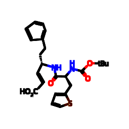 CC(C)(C)OC(=O)N[C@@H](Cc1cccs1)C(=O)N[C@H](C=CC(=O)O)CCc1ccccc1